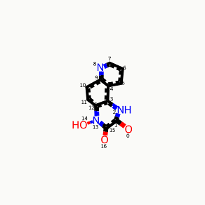 O=c1[nH]c2c3cccnc3ccc2n(O)c1=O